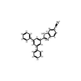 N#Cc1ccc2nc(-c3cc(-c4ccccc4)cc(-c4ccccc4)c3)sc2c1